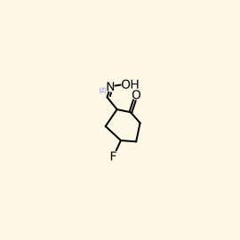 O=C1CCC(F)CC1/C=N\O